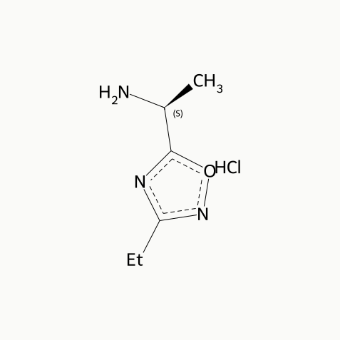 CCc1noc([C@H](C)N)n1.Cl